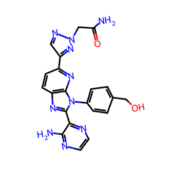 NC(=O)Cn1ncc(-c2ccc3nc(-c4nccnc4N)n(-c4ccc(CO)cc4)c3n2)n1